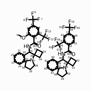 COc1cc(C(F)(F)F)cc(C(F)(F)F)c1C(=O)NC(c1ccccc1)C1(N2CCCC2)CCC1.O=C(NC(c1ccccc1)C1(N2CCCC2)CCC1)c1ccc(C(F)(F)F)cc1C(F)(F)F